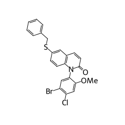 COc1cc(Cl)c(Br)cc1-n1c(=O)ccc2cc(SCc3ccccc3)ccc21